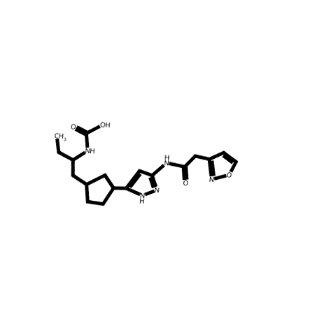 CCC(CC1CCC(c2cc(NC(=O)Cc3ccon3)n[nH]2)C1)NC(=O)O